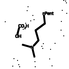 CCCCCCCCN(C)C.O=C(O)O